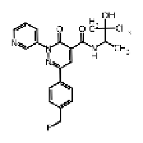 CC(NC(=O)c1cc(-c2ccc(CF)cc2)nn(-c2cccnc2)c1=O)C(C)(C)O